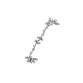 CC(NC(=O)CCOCCOCCOCCNC(=O)C#CC(=O)NCCOCCOCCOCCC(=O)NC(C)C(=O)NC(C)C(=O)OC(C)(C)C)C(=O)NC(C)C(=O)OC(C)(C)C